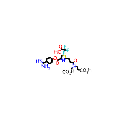 N=C(N)c1ccc(OC(=O)c2csc(CCC(=O)N(CCC(=O)O)CC(=O)O)n2)cc1.O=C(O)C(F)(F)F